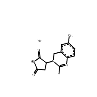 CC1=Nc2ccc(O)cc2CN1C1CC(=O)NC1=O.Cl